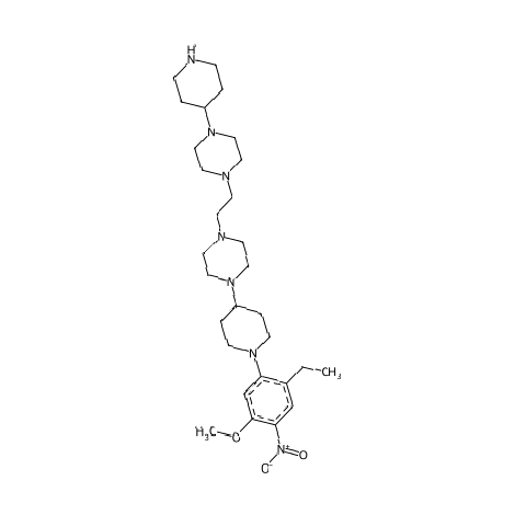 CCc1cc([N+](=O)[O-])c(OC)cc1N1CCC(N2CCN(CCN3CCN(C4CCNCC4)CC3)CC2)CC1